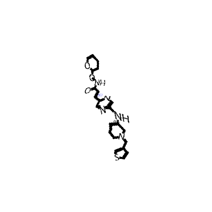 O=C(/C=C/c1cnc(N[C@@H]2CCCN(Cc3ccsc3)C2)cn1)NOC1CCCCO1